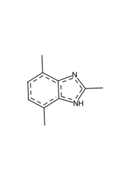 Cc1nc2c(C)ccc(C)c2[nH]1